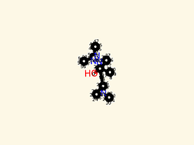 Oc1cc2c(c(-c3ccccc3)c1C#Cc1ccc3c(c1)c1ccccc1n3-c1ccccc1)c1ccccc1n2-c1nc(-c2ccccc2)cc(-c2ccccc2)n1